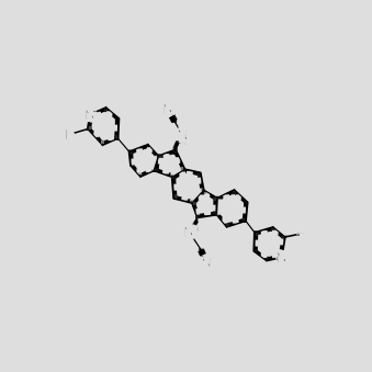 N#C/N=c1\c2cc(-c3ccnc(F)c3)ccc2c2cc3/c(=N/C#N)c4cc(-c5ccnc(F)c5)ccc4c3cc12